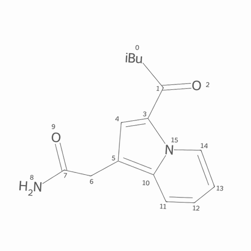 CCC(C)C(=O)c1cc(CC(N)=O)c2ccccn12